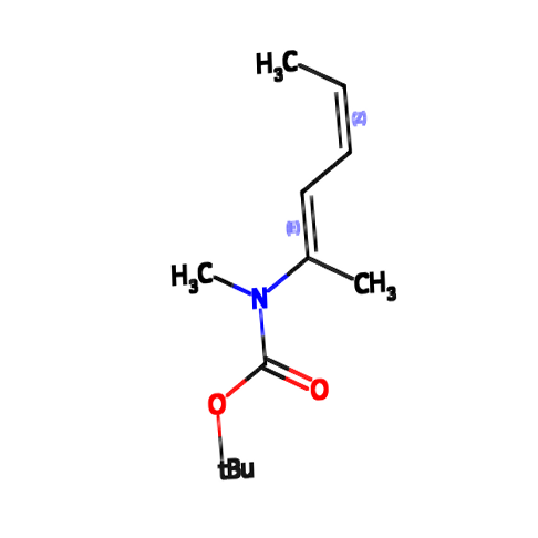 C/C=C\C=C(/C)N(C)C(=O)OC(C)(C)C